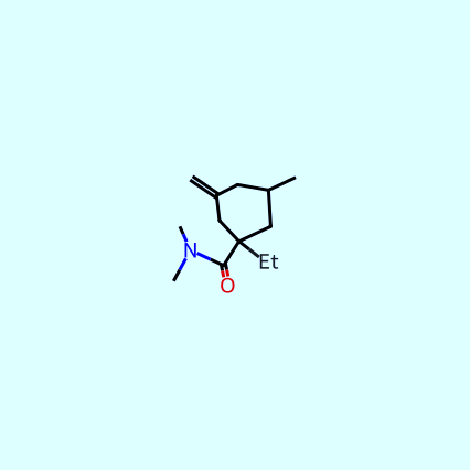 C=C1CC(C)CC(CC)(C(=O)N(C)C)C1